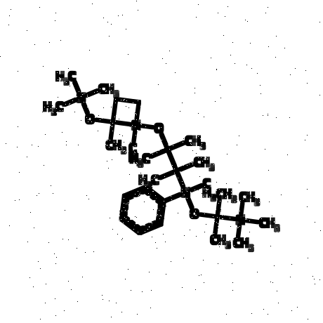 CC(C)(O[Si]1(C)CCC1(C)O[Si](C)(C)C)C(C)(C)[Si](C)(OC(C)(C)[Si](C)(C)C)c1ccccc1